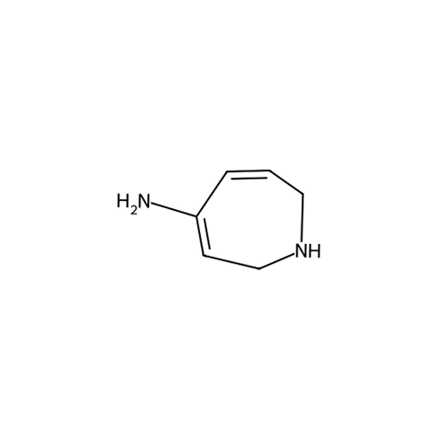 NC1=CCNCC=C1